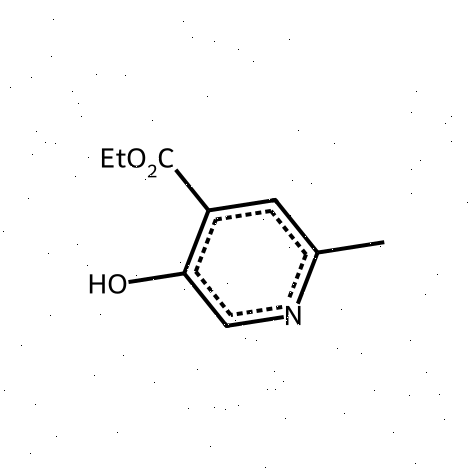 CCOC(=O)c1cc(C)ncc1O